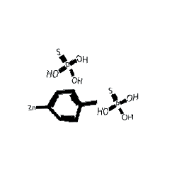 Cc1cc[c]([Zn])cc1.OP(O)(O)=S.OP(O)(O)=S